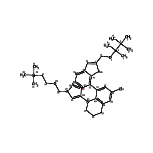 CC(C)(C)[Si](C)(C)OCc1cc2nccc(-c3cc(Cl)cc4c3N(c3cnn(COCC[Si](C)(C)C)c3)CCC4)c2s1